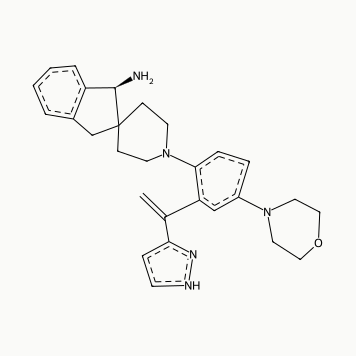 C=C(c1cc[nH]n1)c1cc(N2CCOCC2)ccc1N1CCC2(CC1)Cc1ccccc1[C@H]2N